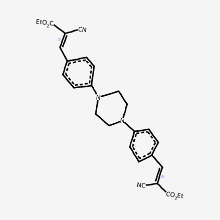 CCOC(=O)/C(C#N)=C/c1ccc(N2CCN(c3ccc(/C=C(\C#N)C(=O)OCC)cc3)CC2)cc1